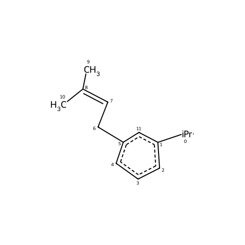 C[C](C)c1cccc(CC=C(C)C)c1